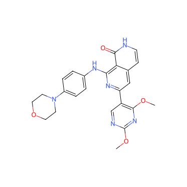 COc1ncc(-c2cc3cc[nH]c(=O)c3c(Nc3ccc(N4CCOCC4)cc3)n2)c(OC)n1